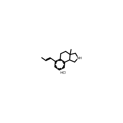 CC=Cc1cccc2c1CCC1(C)CNCC21.Cl